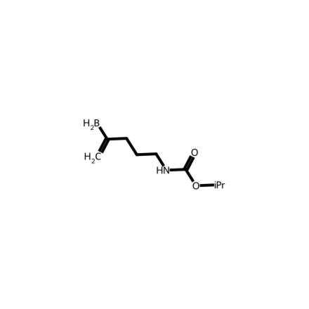 BC(=C)CCCNC(=O)OC(C)C